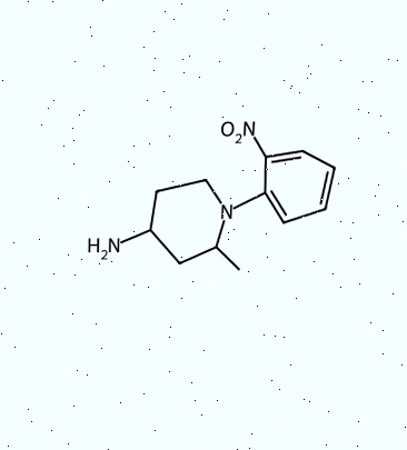 CC1CC(N)CCN1c1ccccc1[N+](=O)[O-]